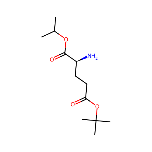 CC(C)OC(=O)[C@@H](N)CCC(=O)OC(C)(C)C